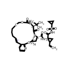 C=CC1C[C@]1(NC(=O)[C@@H]1C[C@@H]2CN1C(=O)[C@H](C(C)(C)C)NC(=O)OCCCCC/C=C/c1cccnc1O2)C(=O)NS(=O)(=O)C1CC1